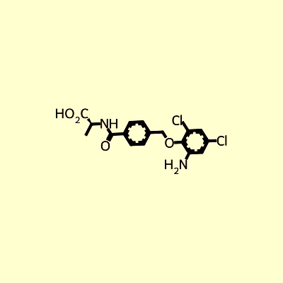 C[C@H](NC(=O)c1ccc(COc2c(N)cc(Cl)cc2Cl)cc1)C(=O)O